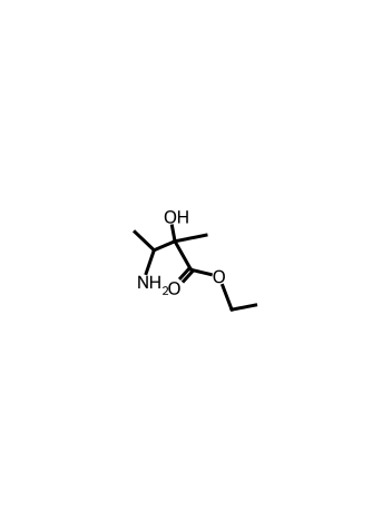 CCOC(=O)C(C)(O)C(C)N